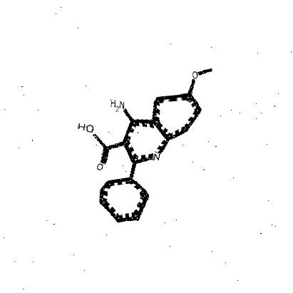 COc1ccc2nc(-c3ccccc3)c(C(=O)O)c(N)c2c1